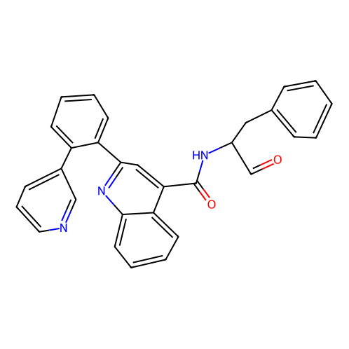 O=CC(Cc1ccccc1)NC(=O)c1cc(-c2ccccc2-c2cccnc2)nc2ccccc12